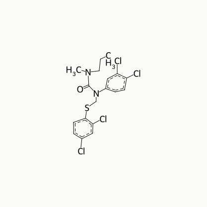 CCCN(C)C(=O)N(CSc1ccc(Cl)cc1Cl)c1ccc(Cl)c(Cl)c1